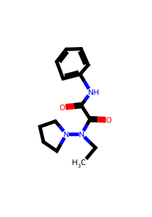 CCN(C(=O)C(=O)Nc1[c]cccc1)N1CCCC1